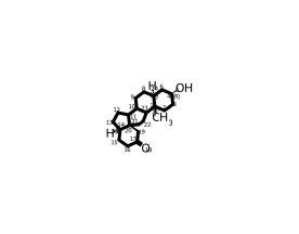 C[C@]12CC[C@@H](O)C[C@@H]1CCC1C3CC[C@@H]4CCC(=O)C[C@]34CCC12